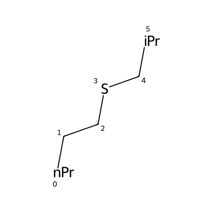 [CH2]CCCCSCC(C)C